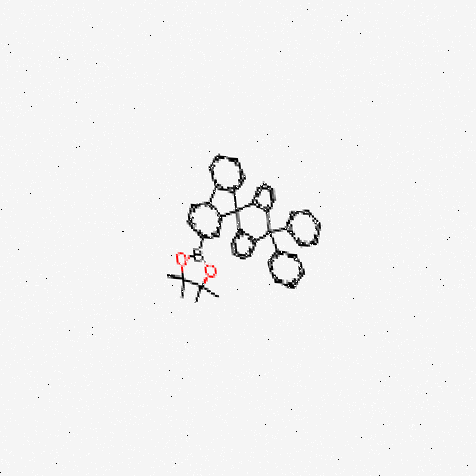 CC1(C)OB(c2ccc3c(c2)C2(c4ccccc4-3)c3ccccc3C(c3ccccc3)(c3ccccc3)c3ccccc32)OC1(C)C